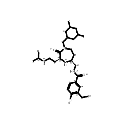 CC1CC(C)CC(CN2CC[C@@H](CNC(=O)c3ccc(Cl)c(CI)c3)N[C@@H](CCNC(C)C)C2=O)C1